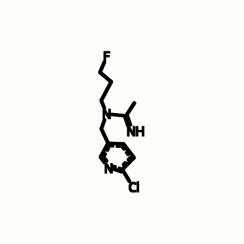 CC(=N)N(CCCF)Cc1ccc(Cl)nc1